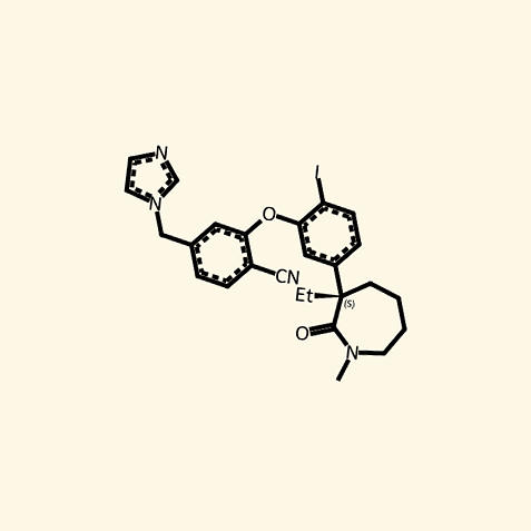 CC[C@@]1(c2ccc(I)c(Oc3cc(Cn4ccnc4)ccc3C#N)c2)CCCCN(C)C1=O